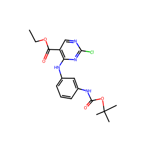 CCOC(=O)c1cnc(Cl)nc1Nc1cccc(NC(=O)OC(C)(C)C)c1